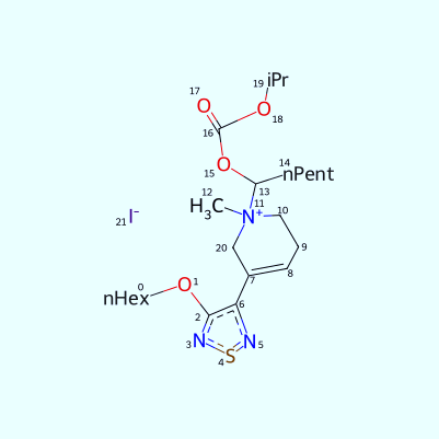 CCCCCCOc1nsnc1C1=CCC[N+](C)(C(CCCCC)OC(=O)OC(C)C)C1.[I-]